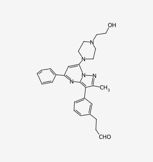 Cc1nn2c(N3CCN(CCO)CC3)cc(-c3ccccc3)nc2c1-c1cccc(CCC=O)c1